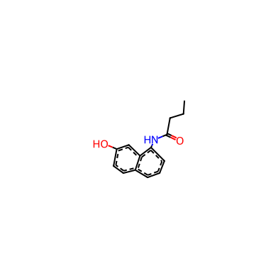 CCCC(=O)Nc1cccc2ccc(O)cc12